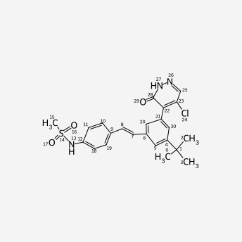 CC(C)(C)c1cc(/C=C/c2ccc(NS(C)(=O)=O)cc2)cc(-c2c(Cl)cn[nH]c2=O)c1